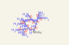 CC(=O)NCCN(CCC(=O)NCCCN(CCC(=O)NCCN(CCC(=O)NCCN)CCC(=O)NCCN)CCC(=O)NCCN(CCC(=O)NCCN)CCC(=O)NCCN)CCC(=O)NCCN(CCC(=O)NCCN(CCC(=O)NCCN)CCC(=O)NCCN)CCC(=O)NCCN(CCC(=O)NCCN)CCC(=O)NCCN